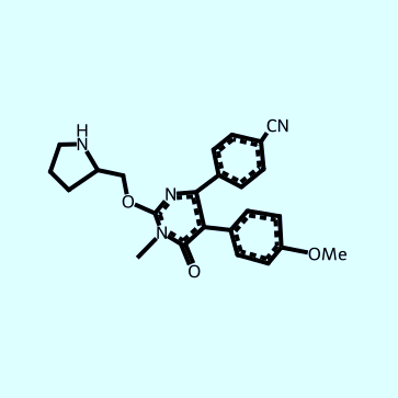 COc1ccc(-c2c(-c3ccc(C#N)cc3)nc(OCC3CCCN3)n(C)c2=O)cc1